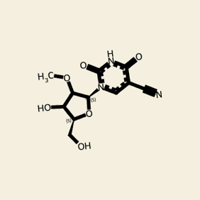 COC1C(O)[C@H](CO)O[C@@H]1n1cc(C#N)c(=O)[nH]c1=O